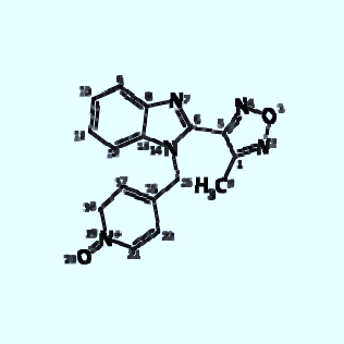 Cc1nonc1-c1nc2ccccc2n1CC1=CC[N+](=O)C=C1